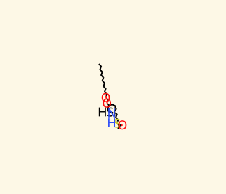 CCCCCCCCCCCCOCOC1CCC[SiH](CCCSC(C)=O)NCC1